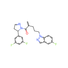 C=C(CCCn1ncc2cc(F)ccc21)C(=O)N1N=CCC1c1cc(F)cc(F)c1